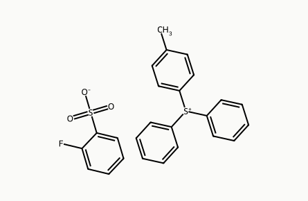 Cc1ccc([S+](c2ccccc2)c2ccccc2)cc1.O=S(=O)([O-])c1ccccc1F